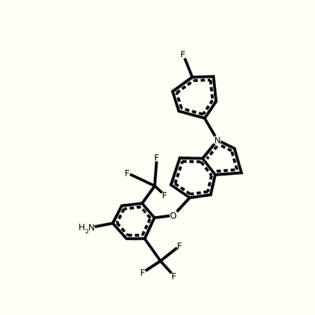 Nc1cc(C(F)(F)F)c(Oc2ccc3c(ccn3-c3ccc(F)cc3)c2)c(C(F)(F)F)c1